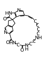 O=C1CNC(=O)c2cc3c(cn2)CC2(C3)C(=O)Nc3ncc(cc32)C=CCCCCNCCN1